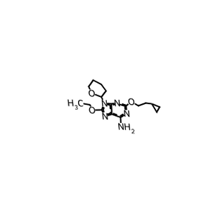 CCOc1nc2c(N)nc(OCCC3CC3)nc2n1C1CCCCO1